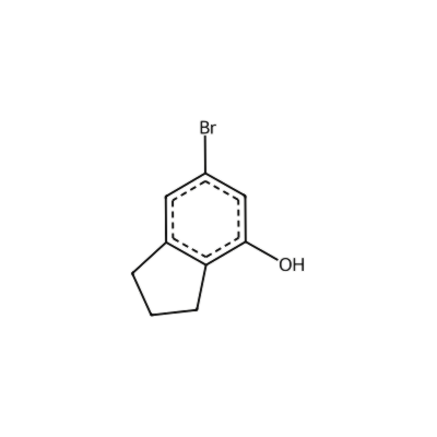 Oc1cc(Br)cc2c1CCC2